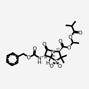 CC(OC(=O)C(C)C)OC(=O)[C@@H]1N2C(=O)[C@@H](NC(=O)OCc3ccccc3)[C@H]2S(=O)(=O)C1(C)C